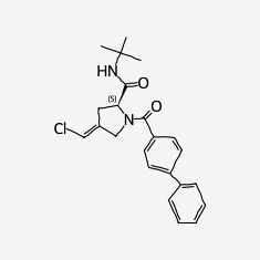 CC(C)(C)NC(=O)[C@@H]1CC(=CCl)CN1C(=O)c1ccc(-c2ccccc2)cc1